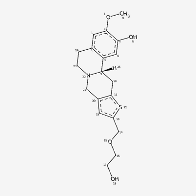 COc1cc2c(cc1O)[C@@H]1Cc3sc(COCCO)cc3CN1CC2